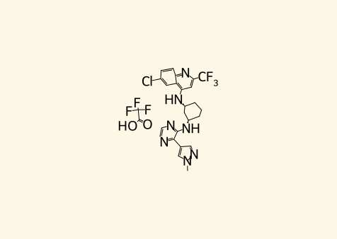 Cn1cc(-c2nccnc2N[C@@H]2CCC[C@H](Nc3cc(C(F)(F)F)nc4ccc(Cl)cc34)C2)cn1.O=C(O)C(F)(F)F